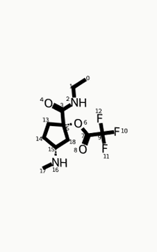 CCNC(=O)[C@]1(OC(=O)C(F)(F)F)CC[C@@H](NC)C1